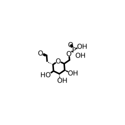 O=CC[C@@H]1OC(COP(=O)(O)O)[C@@H](O)[C@H](O)C1O